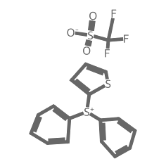 O=S(=O)([O-])C(F)(F)F.c1ccc([S+](c2ccccc2)c2cccs2)cc1